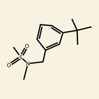 CN(Cc1cccc(C(C)(C)C)c1)S(C)(=O)=O